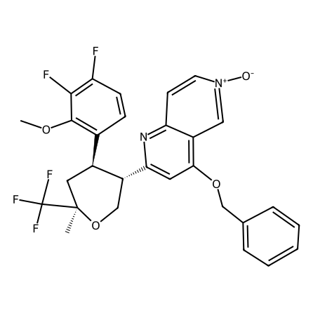 COc1c([C@@H]2C[C@](C)(C(F)(F)F)OC[C@H]2c2cc(OCc3ccccc3)c3c[n+]([O-])ccc3n2)ccc(F)c1F